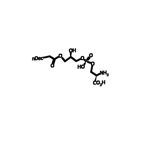 CCCCCCCCCCCC(=O)OC[C@@H](O)COP(=O)(O)OC[C@H](N)C(=O)O